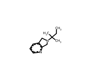 CCC(C)(C)N1Cc2cccnc2C1